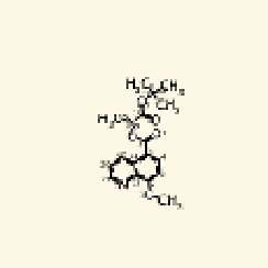 COc1ccc(C(=O)ON(C)C(=O)OC(C)(C)C)c2cccnc12